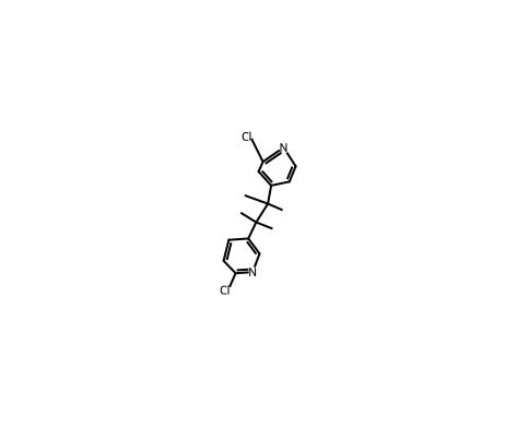 CC(C)(c1ccc(Cl)nc1)C(C)(C)c1ccnc(Cl)c1